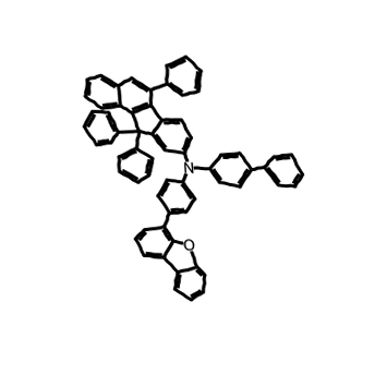 c1ccc(-c2ccc(N(c3ccc(-c4cccc5c4oc4ccccc45)cc3)c3ccc4c(c3)C(c3ccccc3)(c3ccccc3)c3c-4c(-c4ccccc4)cc4ccccc34)cc2)cc1